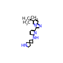 CC(C)(C)c1ccc2ncc(-c3cccc(NC4CC5(CCNC5)C4)n3)n2c1